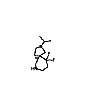 CC(C)N1CC[C@]2(CNCCC2(F)F)C1